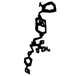 CS(=O)(=O)N(CCOc1ccc(C#N)cc1)CCN1CC2CN(Cc3ccccc3F)CC(C1)O2